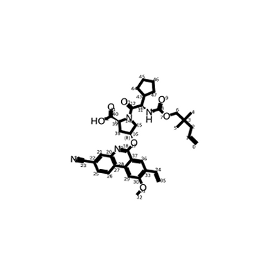 C=CCC(C)(C)COC(=O)N[C@H](C(=O)N1C[C@H](Oc2nc3cc(C#N)ccc3c3cc(OC)c(C=C)cc23)C[C@H]1C(=O)O)C1CCCC1